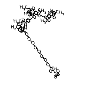 COc1cc2c(cc1OCCCOc1cc3c(cc1OC)C(=O)N1C=C(C)C[C@H]1[C@H](O)N3C(=O)OCc1ccc(NC(=O)[C@H](C)CC(=O)[C@@H](NC(=O)CCOCCOCCOCCOCCOCCOCCOCCOCCNC(=O)CCN3C(=O)C=CC3=O)C(C)C)cc1)N=C[C@@H]1CC(C)=CN1C2=O